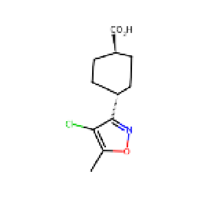 Cc1onc([C@H]2CC[C@H](C(=O)O)CC2)c1Cl